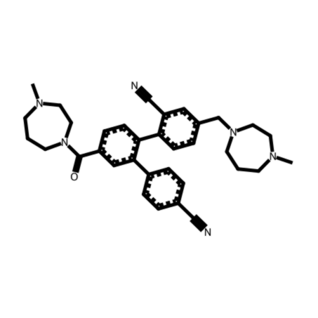 CN1CCCN(Cc2ccc(-c3ccc(C(=O)N4CCCN(C)CC4)cc3-c3ccc(C#N)cc3)c(C#N)c2)CC1